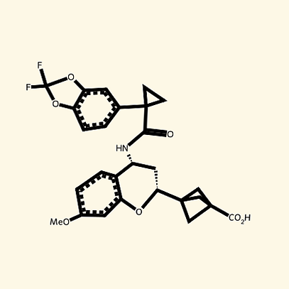 COc1ccc2c(c1)O[C@@H](C13CC(C(=O)O)(C1)C3)C[C@H]2NC(=O)C1(c2ccc3c(c2)OC(F)(F)O3)CC1